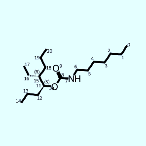 CCCCCCCNC(=O)O[C@@H](CCC)[C@H](CC)CCC